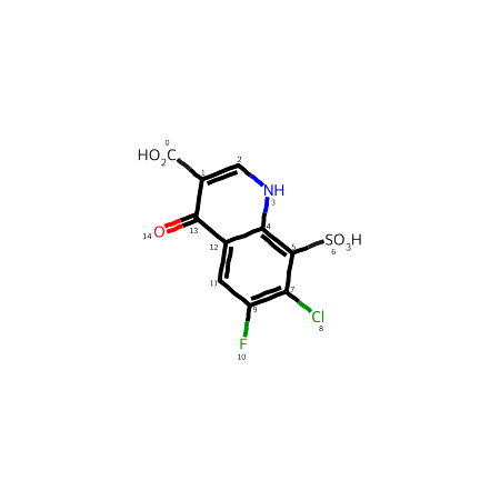 O=C(O)c1c[nH]c2c(S(=O)(=O)O)c(Cl)c(F)cc2c1=O